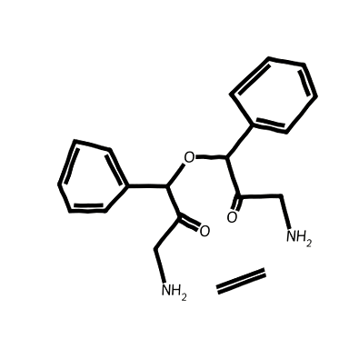 C=C.NCC(=O)C(OC(C(=O)CN)c1ccccc1)c1ccccc1